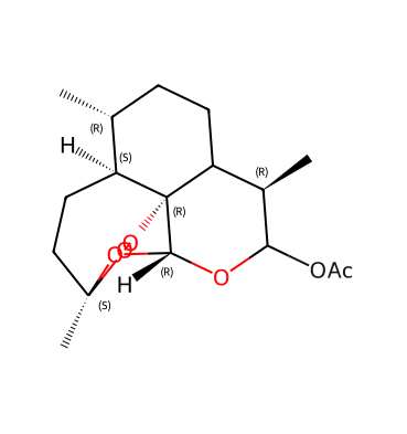 CC(=O)OC1O[C@@H]2O[C@]3(C)CC[C@H]4[C@H](C)CCC([C@H]1C)[C@@]24OO3